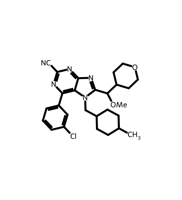 COC(c1nc2nc(C#N)nc(-c3cccc(Cl)c3)c2n1CC1CCC(C)CC1)C1CCOCC1